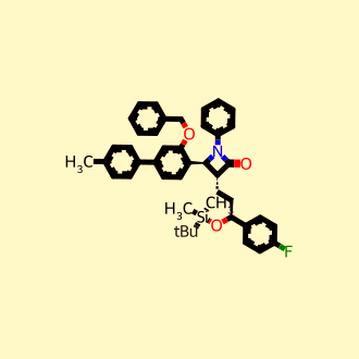 Cc1ccc(-c2ccc([C@@H]3[C@@H](CC[C@H](O[Si](C)(C)C(C)(C)C)c4ccc(F)cc4)C(=O)N3c3ccccc3)c(OCc3ccccc3)c2)cc1